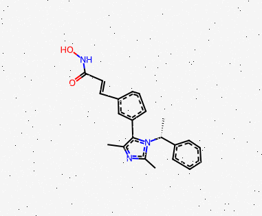 Cc1nc(C)n([C@H](C)c2ccccc2)c1-c1cccc(C=CC(=O)NO)c1